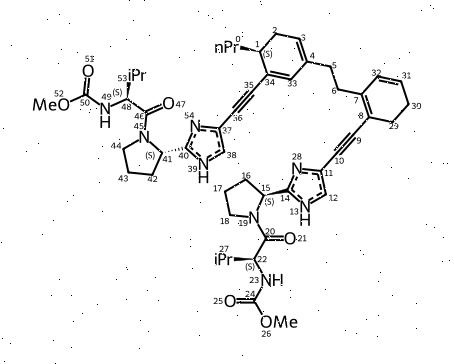 CCC[C@H]1CC=C(CCC2=C(C#Cc3c[nH]c([C@@H]4CCCN4C(=O)[C@@H](NC(=O)OC)C(C)C)n3)CCC=C2)C=C1C#Cc1c[nH]c([C@@H]2CCCN2C(=O)[C@@H](NC(=O)OC)C(C)C)n1